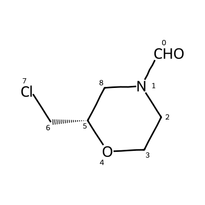 O=CN1CCO[C@H](CCl)C1